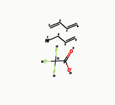 C=CC=C.C=C[CH2][Ni+].O=C([O-])C(F)(F)F